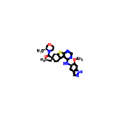 CC[C@]1(C(=O)N2CCOC[C@H]2C)CCc2c(sc3ncnc(Nc4cc5cn[nH]c5cc4OC)c23)C1